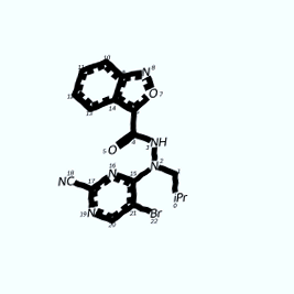 CC(C)CN(NC(=O)c1onc2ccccc12)c1nc(C#N)ncc1Br